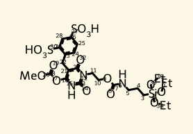 CCO[Si](CCCNC(=O)OCCn1c(=O)[nH]c(OC(=O)OC)c(Cc2ccc(S(=O)(=O)O)cc2S(=O)(=O)O)c1=O)(OCC)OCC